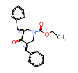 CCOC(=O)N1C/C(=C\c2ccccc2)C(=O)/C(=C/c2ccccc2)C1